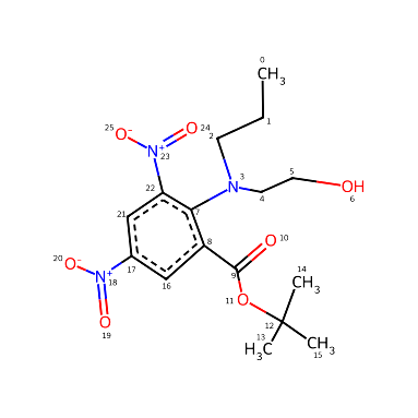 CCCN(CCO)c1c(C(=O)OC(C)(C)C)cc([N+](=O)[O-])cc1[N+](=O)[O-]